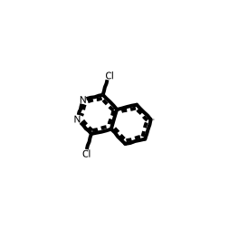 Clc1nnc(Cl)c2cc[c]cc12